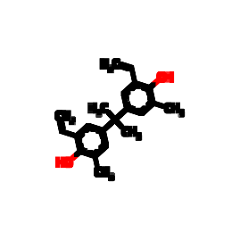 C=Cc1cc(C(C)(C)c2cc(C)c(O)c(C=C)c2)cc(C)c1O